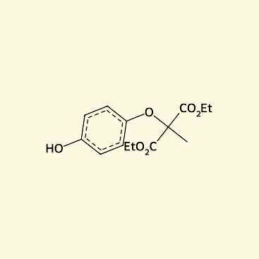 CCOC(=O)C(C)(Oc1ccc(O)cc1)C(=O)OCC